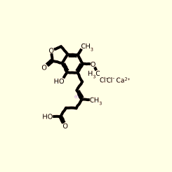 COc1c(C)c2c(c(O)c1C/C=C(\C)CCC(=O)O)C(=O)OC2.[Ca+2].[Cl-].[Cl-]